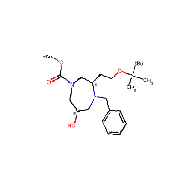 CC(C)(C)OC(=O)N1C[C@H](O)CN(Cc2ccccc2)[C@H](CCO[Si](C)(C)C(C)(C)C)C1